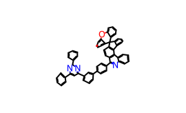 c1ccc(-c2cc(-c3cccc(-c4ccc(-c5nc6ccccc6c6c7c(ccc56)C5(c6ccccc6Oc6ccccc65)c5ccccc5-7)cc4)c3)nc(-c3ccccc3)n2)cc1